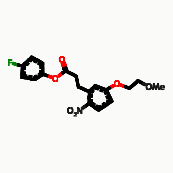 COCCOc1ccc([N+](=O)[O-])c(CCC(=O)Oc2ccc(F)cc2)c1